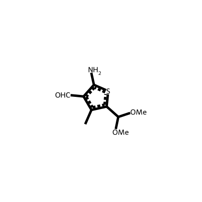 COC(OC)c1sc(N)c(C=O)c1C